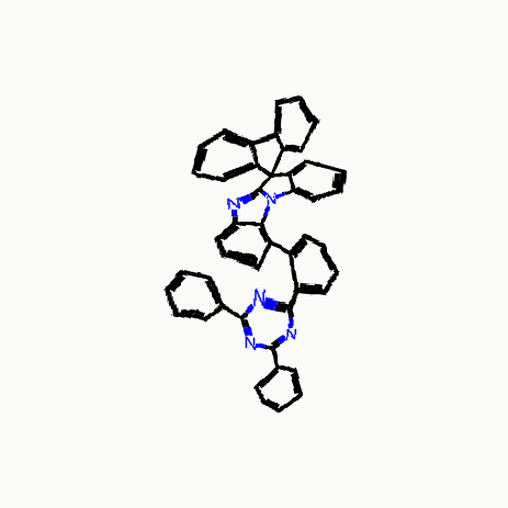 c1ccc(-c2nc(-c3ccccc3)nc(-c3ccccc3-c3cccc4nc5n(c34)-c3ccccc3C53c4ccccc4-c4ccccc43)n2)cc1